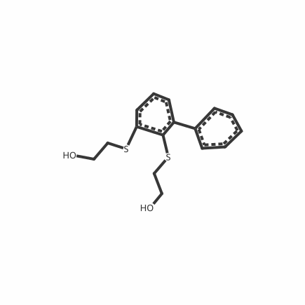 OCCSc1cccc(-c2ccccc2)c1SCCO